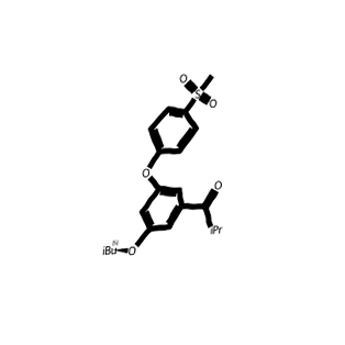 CC[C@H](C)Oc1cc(Oc2ccc(S(C)(=O)=O)cc2)cc(C(=O)C(C)C)c1